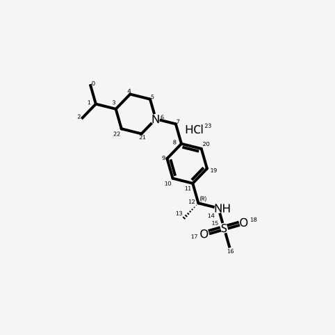 CC(C)C1CCN(Cc2ccc([C@@H](C)NS(C)(=O)=O)cc2)CC1.Cl